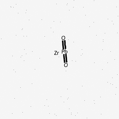 [O]=[Pb]=[O].[Zr]